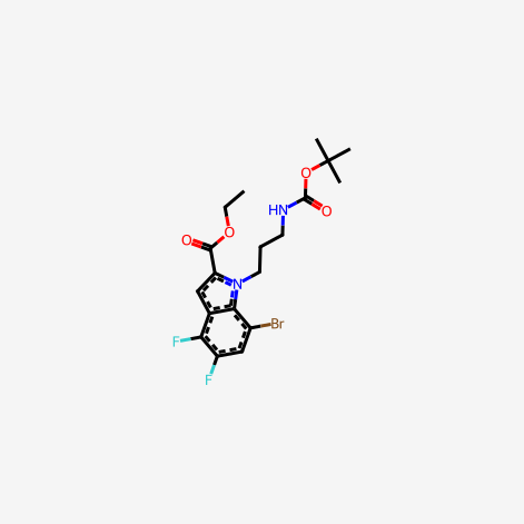 CCOC(=O)c1cc2c(F)c(F)cc(Br)c2n1CCCNC(=O)OC(C)(C)C